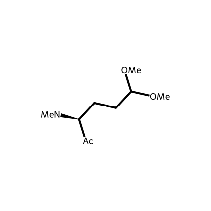 CN[C@@H](CCC(OC)OC)C(C)=O